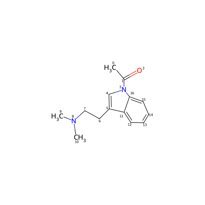 CC(=O)n1cc(CCN(C)C)c2ccccc21